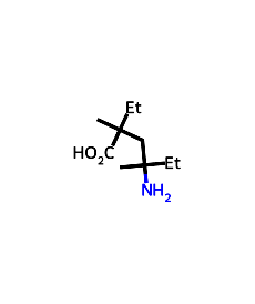 CCC(C)(N)CC(C)(CC)C(=O)O